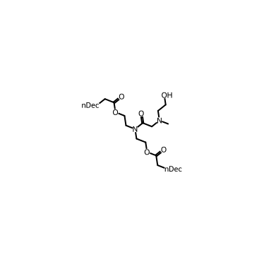 CCCCCCCCCCCC(=O)OCCN(CCOC(=O)CCCCCCCCCCC)C(=O)CN(C)CCO